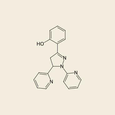 Oc1ccccc1C1=NN(c2ccccn2)C(c2ccccn2)C1